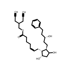 C#CCC(CC#C)COC(=O)CCC/C=C\C[C@H]1[C@@H](O)CC(O)[C@@H]1CC[C@@H](O)CCc1ccccc1